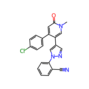 Cn1cc(-c2cnn(-c3ccccc3C#N)c2)c(-c2ccc(Cl)cc2)cc1=O